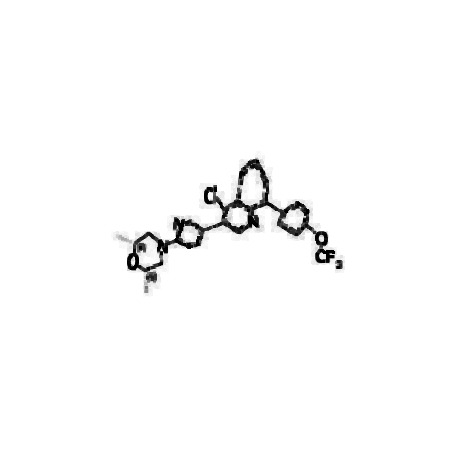 C[C@@H]1CN(c2ccc(-c3cnc4c(-c5ccc(OC(F)(F)F)cc5)cccc4c3Cl)cn2)C[C@H](C)O1